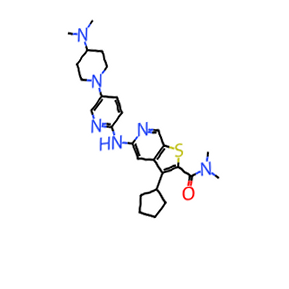 CN(C)C(=O)c1sc2cnc(Nc3ccc(N4CCC(N(C)C)CC4)cn3)cc2c1C1CCCC1